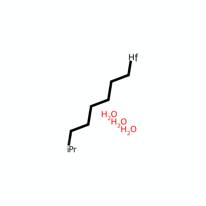 CC(C)CCCCC[CH2][Hf].O.O.O